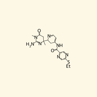 CCSc1cnc(C(=O)NC2=CC=NC(C3(C)CC(=O)N(C)C(N)=N3)C2)cn1